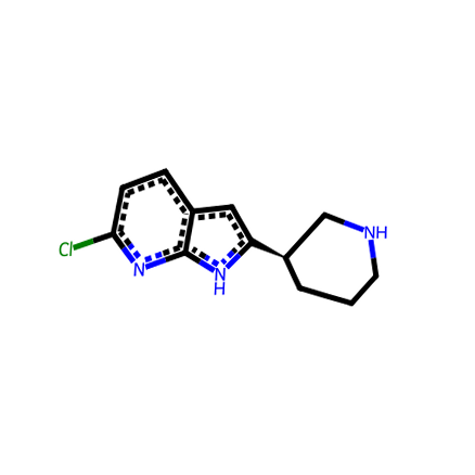 Clc1ccc2cc([C@@H]3CCCNC3)[nH]c2n1